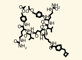 CC(=O)OCc1ccc(NC(=O)C(CCCNC(N)=O)NC(=O)C(NC(=O)CC(NC(=O)CCCNC(=O)c2ccc(CC3CCC3)cc2)C(=O)NC(C(=O)NC(CCCNC(N)=O)C(=O)Nc2ccc(COC(C)=O)cc2)C(C)C)C(C)C)cc1